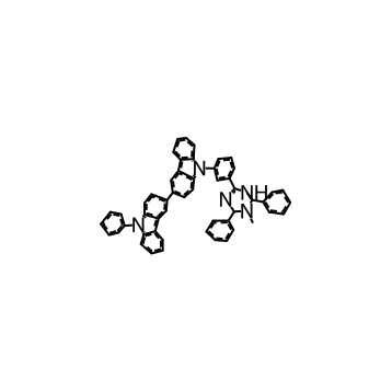 CN1C(c2ccccc2)N=C(c2cccc(-n3c4ccccc4c4cc(-c5ccc6c(c5)c5ccccc5n6-c5ccccc5)ccc43)c2)NC1c1ccccc1